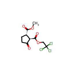 COC(=O)[C@H]1CCC(=O)[C@@H]1C(=O)OCC(Cl)(Cl)Cl